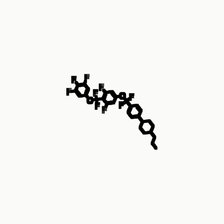 CCCC1CCC(c2ccc(C(F)(F)Oc3cc(F)c(C(F)(F)Oc4cc(F)c(F)c(F)c4)c(F)c3)cc2)CC1